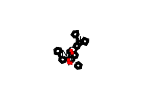 c1ccc(-n2c3ccccc3c3cc(-c4ccc5c(c4)C4(c6ccccc6-n6c7ccccc7c7cccc4c76)c4ccccc4P5c4ccccc4)ccc32)cc1